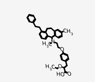 CCOC(Cc1ccc(OCCN(C)C2c3ccc(C)cc3CCc3c(CCc4ccccc4)cccc32)cc1)C(=O)O